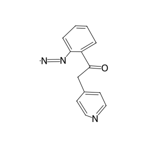 [N]=Nc1ccccc1C(=O)Cc1ccncc1